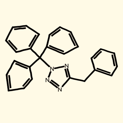 c1ccc(Cc2nnn(C(c3ccccc3)(c3ccccc3)c3ccccc3)n2)cc1